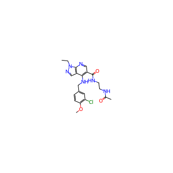 CCn1ncc2c(NCc3ccc(OC)c(Cl)c3)c(C(=O)NCCNC(C)=O)cnc21